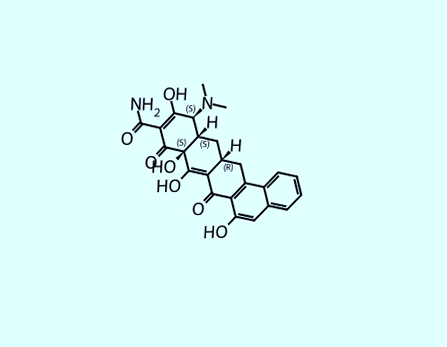 CN(C)[C@@H]1C(O)=C(C(N)=O)C(=O)[C@@]2(O)C(O)=C3C(=O)c4c(O)cc5ccccc5c4C[C@H]3C[C@@H]12